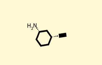 C#C[C@@H]1CCC[C@H](N)C1